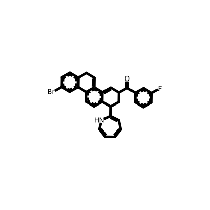 O=C(c1cccc(F)c1)C1C=c2c(ccc3c2=CCc2ccc(Br)cc2-3)C(C2=CC=CC=CN2)C1